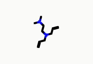 C=CCN(CC=C)CCN(C)C